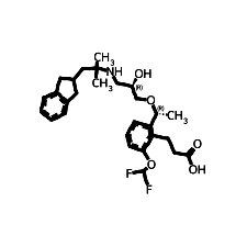 C[C@@H](OC[C@H](O)CNC(C)(C)CC1Cc2ccccc2C1)c1cccc(OC(F)F)c1CCC(=O)O